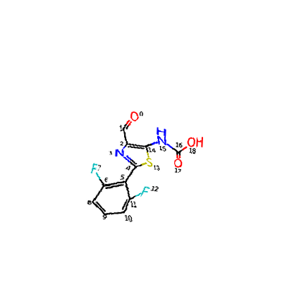 O=Cc1nc(-c2c(F)cccc2F)sc1NC(=O)O